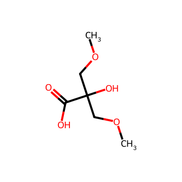 COCC(O)(COC)C(=O)O